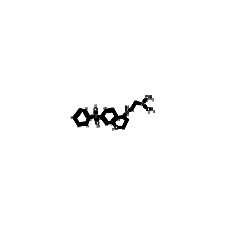 CN(C)CCNC1CCOc2cc(S(=O)(=O)c3ccccc3)ccc21